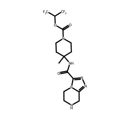 CC1(NC(=O)c2nnc3n2CCNC3)CCN(C(=O)OC(C(F)(F)F)C(F)(F)F)CC1